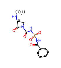 O=C(O)N[C@H]1CN(C(=O)NS(=O)(=O)NC(=O)c2ccccc2)C1=O